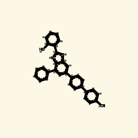 N#Cc1ccc(-c2ccc(-c3cc(-c4ccccc4)c4nc(-c5ccccc5O)sc4c3)cc2)cc1